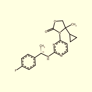 C[C@H](Nc1nccc(N2C(=O)OCC2(C)C2CC2)n1)c1ccc(F)cc1